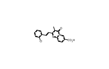 Cc1c(C=Cc2ccccc2Cl)nc2ccc(C(=O)O)cn2c1=O